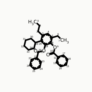 CCCc1cc(CC)c(OC(=O)c2ccccc2)c(OC(=O)c2ccccc2)c1C1CCCCC1